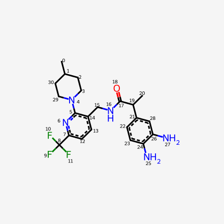 CC1CCN(c2nc(C(F)(F)F)ccc2CNC(=O)C(C)c2ccc(N)c(N)c2)CC1